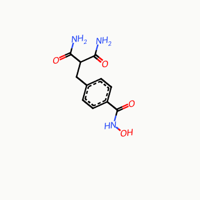 NC(=O)C(Cc1ccc(C(=O)NO)cc1)C(N)=O